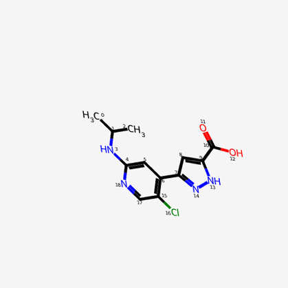 CC(C)Nc1cc(-c2cc(C(=O)O)[nH]n2)c(Cl)cn1